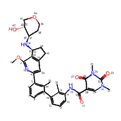 COc1nc(-c2cccc(-c3cccc(NC(=O)c4cn(C)c(=O)n(C)c4=O)c3C)c2C)cc2c1[C@@H](N[C@@H]1CCOC[C@H]1O)CC2